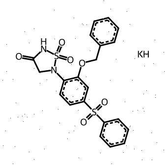 O=C1CN(c2ccc(S(=O)(=O)c3ccccc3)cc2OCc2ccccc2)S(=O)(=O)N1.[KH]